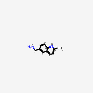 Cc1ccc2cc(CN)ccc2n1